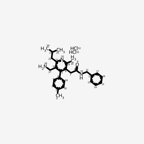 Cc1ccc(-c2c(CC(=O)NCc3ccccc3)c(C)nc(CC(C)C)c2CN)cc1.Cl.Cl